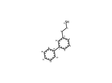 SCCc1cccc(-c2ccccc2)c1